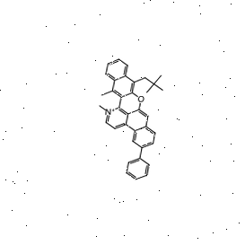 Cc1c2c(c(CC(C)(C)C)c3ccccc13)Oc1cc3ccc(-c4ccccc4)cc3c3cc[n+](C)c-2c13